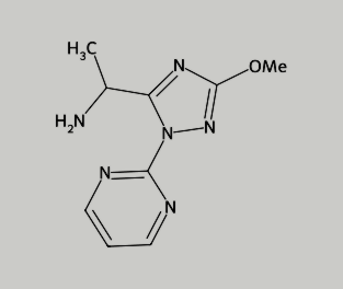 COc1nc(C(C)N)n(-c2ncccn2)n1